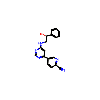 N#Cc1ccc(-c2cc(NC[C@@H](O)c3ccccc3)ncn2)cn1